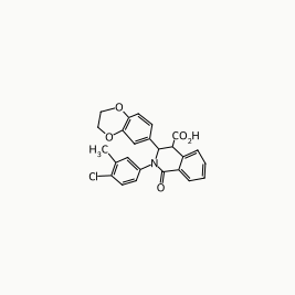 Cc1cc(N2C(=O)c3ccccc3C(C(=O)O)C2c2ccc3c(c2)OCCO3)ccc1Cl